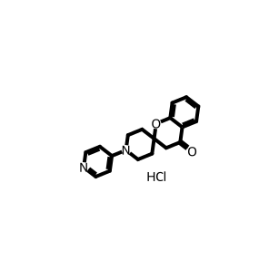 Cl.O=C1CC2(CCN(c3ccncc3)CC2)Oc2ccccc21